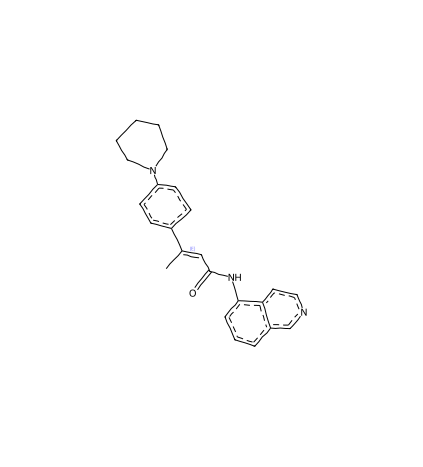 C/C(=C\C(=O)Nc1cccc2cnccc12)c1ccc(N2CCCCC2)cc1